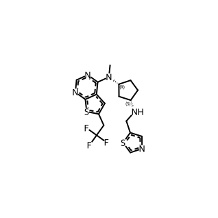 CN(c1ncnc2sc(CC(F)(F)F)cc12)[C@@H]1CC[C@H](NCc2cncs2)C1